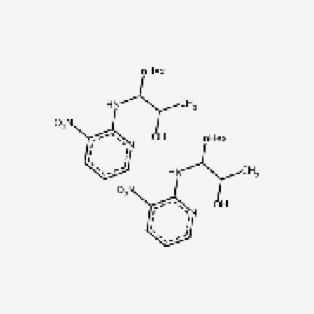 CCCCCCC(Nc1ncccc1[N+](=O)[O-])C(C)O.CCCCCCC(Nc1ncccc1[N+](=O)[O-])C(C)O